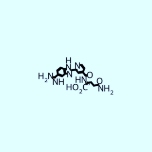 N=C(N)c1ccc2[nH]c(-c3cc(C(=O)N[C@@H](CCC(N)=O)C(=O)O)ccn3)nc2c1